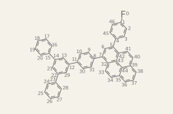 Fc1ccc(-c2cc(-c3ccc(-c4cc(-c5ccccc5)cc(-c5ccccc5)c4)cc3)c3ccc4cccc5ccc2c3c54)cc1